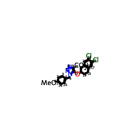 COc1ccc(Cn2nnc(C(=O)O)c2OC2CCc3cc(Cl)c(Cl)cc3C2)cc1